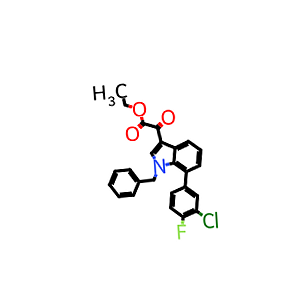 CCOC(=O)C(=O)c1cn(Cc2ccccc2)c2c(-c3ccc(F)c(Cl)c3)cccc12